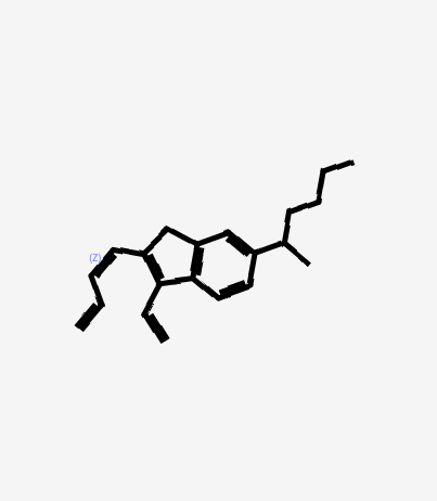 C=C/C=C\C1=C(C=C)c2ccc(C(C)CCCC)cc2C1